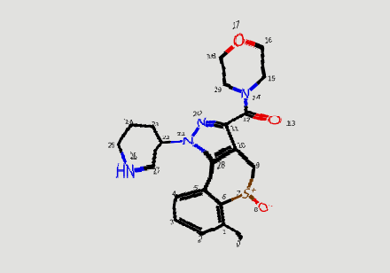 Cc1cccc2c1[S+]([O-])Cc1c(C(=O)N3CCOCC3)nn(C3CCCNC3)c1-2